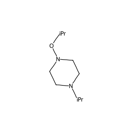 CC(C)ON1CCN(C(C)C)CC1